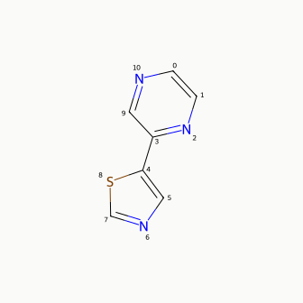 c1cnc(-c2cncs2)cn1